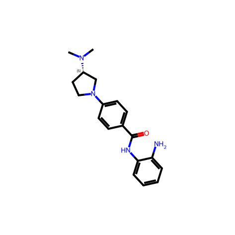 CN(C)[C@H]1CCN(c2ccc(C(=O)Nc3ccccc3N)cc2)C1